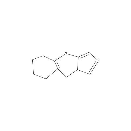 [C]1C2=CC=CC2CC2=C1CCCC2